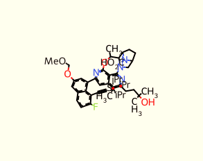 COCOc1cc(-c2cc3c(C)c(CCC(C)(C)O)nc4c3c(n2)OC(C)C2C3CCC(CN42)N3C(=O)O)c2c(C#C[Si](C(C)C)(C(C)C)C(C)C)c(F)ccc2c1